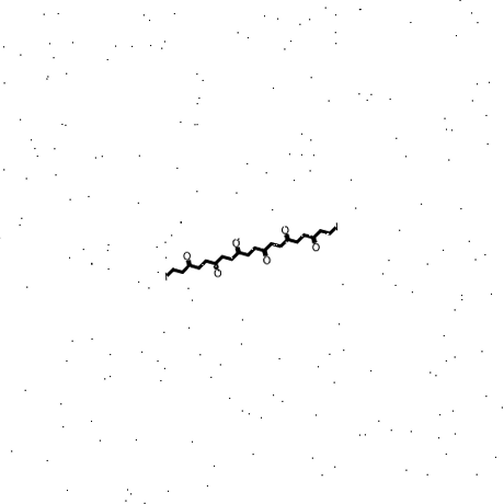 O=C(CCI)CCC(=O)CCC(=O)CCC(=O)CCC(=O)CCC(=O)CCI